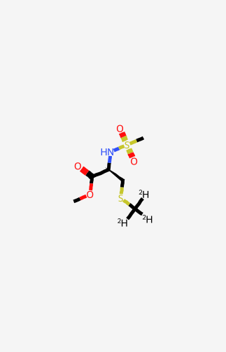 [2H]C([2H])([2H])SC[C@H](NS(C)(=O)=O)C(=O)OC